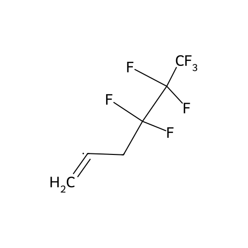 C=[C]CC(F)(F)C(F)(F)C(F)(F)F